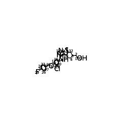 OCCC1CCc2c(sc3ncnc(Nc4ccc(OCc5ccc(F)cc5)c(Cl)c4)c23)C1